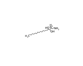 CCCCCCCCCCCCCCCC(O)C(CO)C(N)CCN